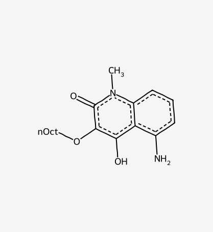 CCCCCCCCOc1c(O)c2c(N)cccc2n(C)c1=O